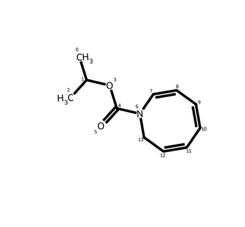 CC(C)OC(=O)N1C=CC=CC=CC1